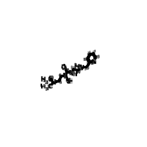 CN(C)CCN(S)C(=O)NCCNCc1ccccn1